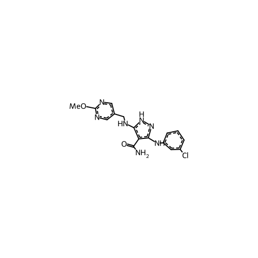 COc1ncc(CNc2[nH]nc(Nc3cccc(Cl)c3)c2C(N)=O)cn1